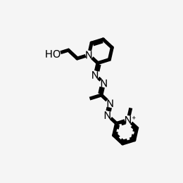 CC(/N=N/c1cccc[n+]1C)=N\N=C1/CCC=CN1CCO